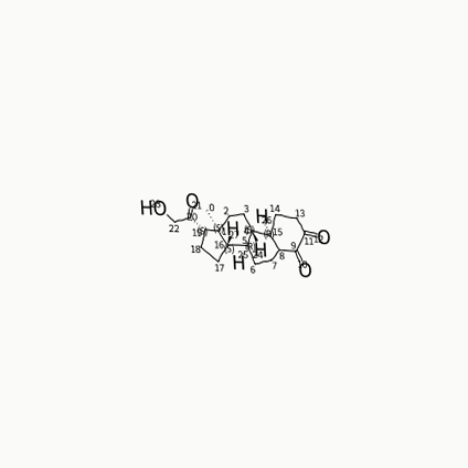 C[C@]12CC[C@H]3[C@@H](CCC4C(=O)C(=O)CC[C@@H]43)[C@@H]1CC[C@@H]2C(=O)CO